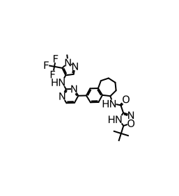 Cn1ncc(Nc2nccc(-c3ccc4c(c3)CCCCC4NC(=O)C3=NOC(C(C)(C)C)N3)n2)c1C(F)(F)F